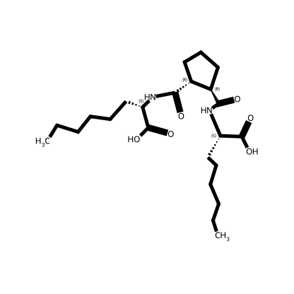 CCCCCC[C@H](NC(=O)[C@@H]1CCC[C@H]1C(=O)N[C@@H](CCCCCC)C(=O)O)C(=O)O